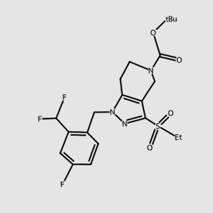 CCS(=O)(=O)c1nn(Cc2ccc(F)cc2C(F)F)c2c1CN(C(=O)OC(C)(C)C)CC2